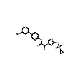 CCC(C(=O)Nc1ccc(-c2cncc(C#N)c2)cn1)c1csc(NS(=O)(=O)C2CC2)n1